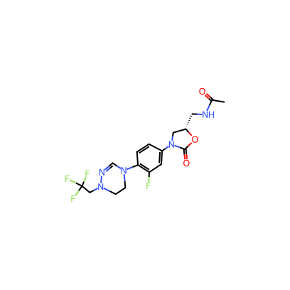 CC(=O)NC[C@H]1CN(c2ccc(N3C=NN(CC(F)(F)F)CC3)c(F)c2)C(=O)O1